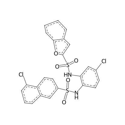 O=S(=O)(Nc1ccc(Cl)cc1NS(=O)(=O)c1cc2ccccc2o1)c1ccc2c(Cl)cccc2c1